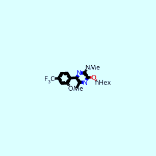 CCCCCCOc1nc(C)c(-c2ccc(C(F)(F)F)cc2OC)nc1NC